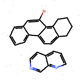 Brc1cc2ccccc2c2ccc3c(c12)CCCC3.c1cnc2cnccc2c1